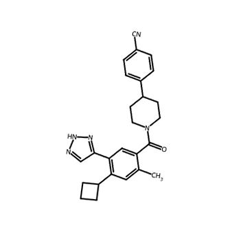 Cc1cc(C2CCC2)c(-c2cn[nH]n2)cc1C(=O)N1CCC(c2ccc(C#N)cc2)CC1